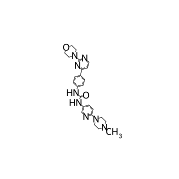 CN1CCN(c2ccc(NC(=O)Nc3ccc(-c4ccnc(N5CCOCC5)n4)cc3)cn2)CC1